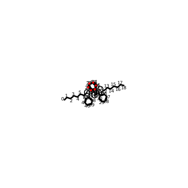 CCCCCCC[O][Sn]([O][Sn]([O]CCCCCCC)([c]1ccccc1)[c]1ccccc1)([c]1ccccc1)[c]1ccccc1